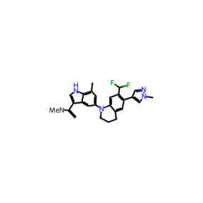 C=C(NC)c1c[nH]c2c(C)cc(N3CCCc4cc(-c5cnn(C)c5)c(C(F)F)cc43)cc12